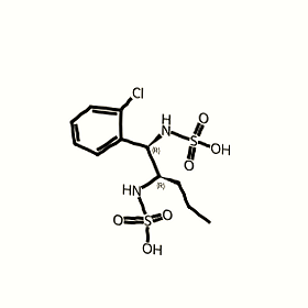 CCC[C@@H](NS(=O)(=O)O)[C@H](NS(=O)(=O)O)c1ccccc1Cl